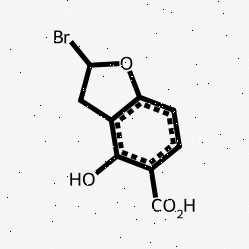 O=C(O)c1ccc2c(c1O)CC(Br)O2